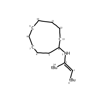 CC(C)(C)/C=C(/NC1CCCCCCCCC1)C(C)(C)C